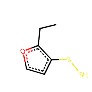 CCc1occc1SS